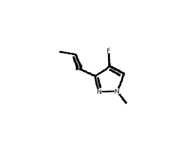 C/C=C/c1nn(C)cc1F